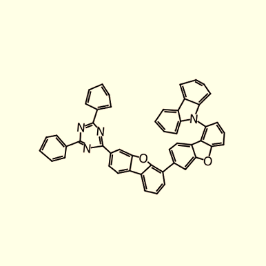 c1ccc(-c2nc(-c3ccccc3)nc(-c3ccc4c(c3)oc3c(-c5ccc6c(c5)oc5cccc(-n7c8ccccc8c8ccccc87)c56)cccc34)n2)cc1